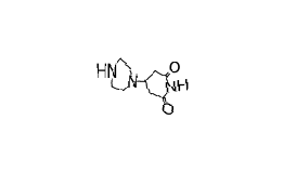 O=C1CC(N2CCNCC2)CC(=O)N1